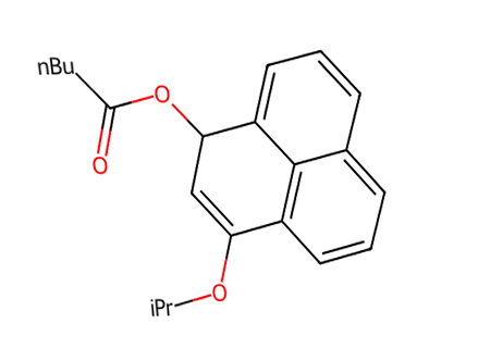 CCCCC(=O)OC1C=C(OC(C)C)c2cccc3cccc1c23